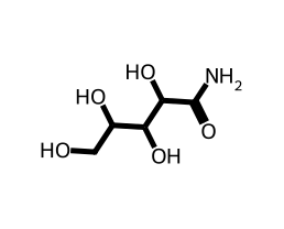 NC(=O)C(O)C(O)C(O)CO